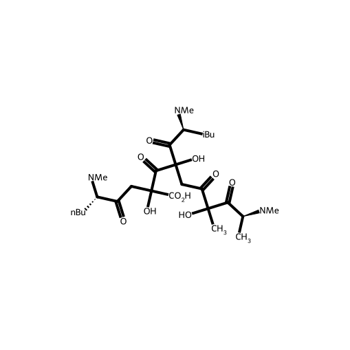 CCCC[C@H](NC)C(=O)CC(O)(C(=O)O)C(=O)C(O)(CC(=O)C(C)(O)C(=O)[C@H](C)NC)C(=O)[C@@H](NC)C(C)CC